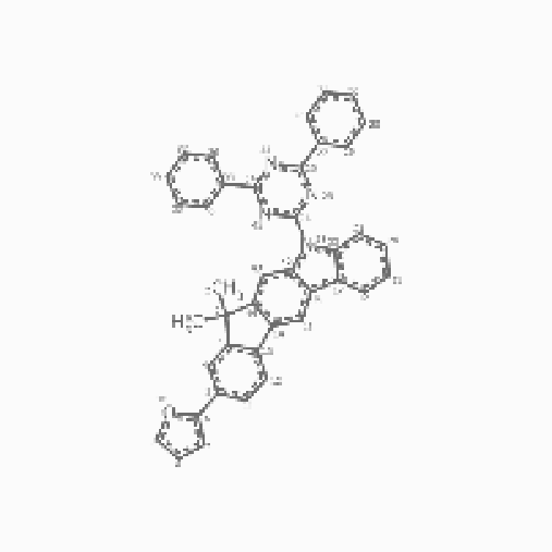 CC1(C)c2cc(-c3ccco3)ccc2-c2cc3c4ccccc4n(-c4nc(-c5ccccc5)nc(-c5ccccc5)n4)c3cc21